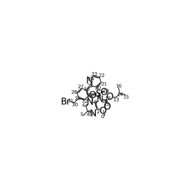 COc1nc(C)cnc1N(C(=O)OCC(C)C)S(=O)(=O)c1cccnc1-c1ccc(CBr)cc1